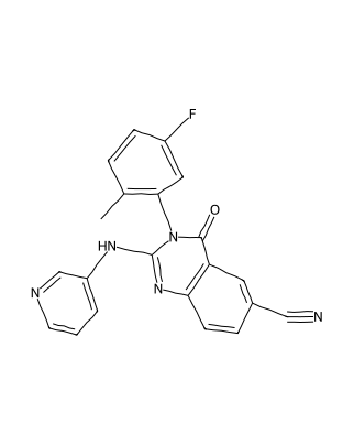 Cc1ccc(F)cc1-n1c(Nc2cccnc2)nc2ccc(C#N)cc2c1=O